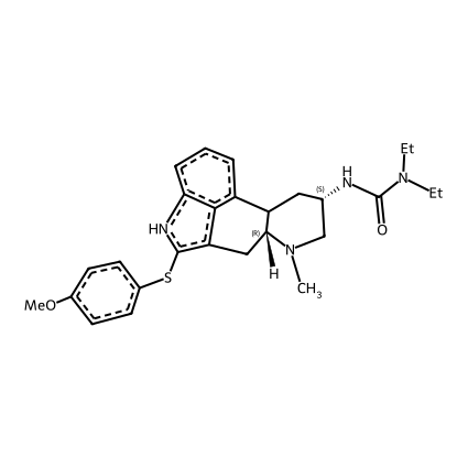 CCN(CC)C(=O)N[C@H]1CC2c3cccc4[nH]c(Sc5ccc(OC)cc5)c(c34)C[C@H]2N(C)C1